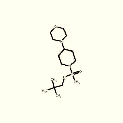 CC(C)(C)COP(C)(=O)N1CCC(N2CCOCC2)CC1